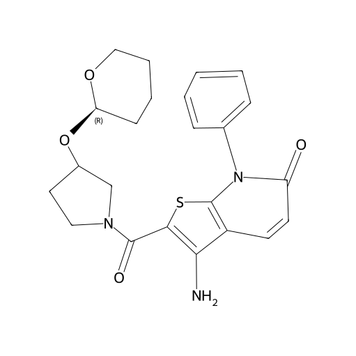 Nc1c(C(=O)N2CCC(O[C@@H]3CCCCO3)C2)sc2c1ccc(=O)n2-c1ccccc1